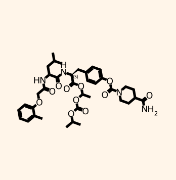 Cc1ccccc1OCC(=O)NC(CC(C)C)C(=O)N[C@@H](Cc1ccc(OC(=O)N2CCC(C(N)=O)CC2)cc1)C(=O)OC(C)OC(=O)OC(C)C